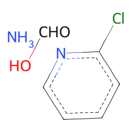 Clc1ccccn1.N.O=CO